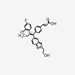 CC/C(=C(/c1ccc(/C=C/C(=O)O)cc1)c1ccc2nn(CCO)cc2c1)c1ccc(F)cc1Cl